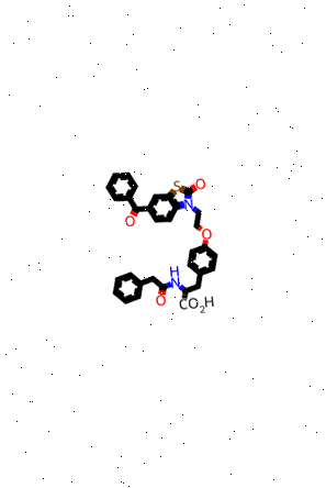 O=C(Cc1ccccc1)NC(Cc1ccc(OCCn2c(=O)sc3cc(C(=O)c4ccccc4)ccc32)cc1)C(=O)O